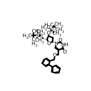 CC(C)(C)[Si](C)(C)OC[C@H]1O[C@@H](n2cc(COCc3ccccc3-c3ccccc3)c(=O)[nH]c2=O)C[C@@H]1O[Si](C)(C)C(C)(C)C